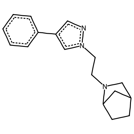 c1ccc(-c2cnn(CCN3CC4CCC3C4)c2)cc1